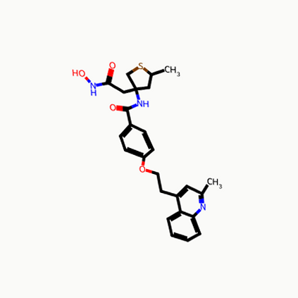 Cc1cc(CCOc2ccc(C(=O)NC3(CC(=O)NO)CSC(C)C3)cc2)c2ccccc2n1